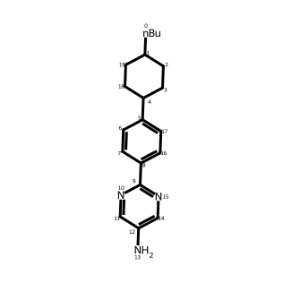 CCCCC1CCC(c2ccc(-c3ncc(N)cn3)cc2)CC1